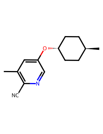 Cc1cc(O[C@H]2CC[C@H](C)CC2)cnc1C#N